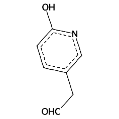 O=CCc1ccc(O)nc1